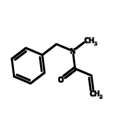 C=CC(=O)N(C)Cc1ccccc1